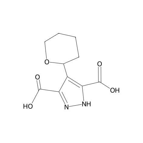 O=C(O)c1n[nH]c(C(=O)O)c1C1CCCCO1